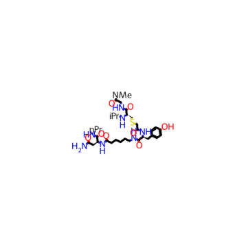 CCCNC(=O)[C@H](CC(N)=O)NC(=O)CCCCCNC(=O)[C@H](Cc1ccc(O)cc1)NC(=O)CSC[C@H](NC(C)C)C(=O)NCC(=O)NC